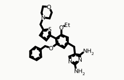 CCOc1cc(Cc2cnc(N)nc2N)cc(OCc2ccccc2)c1-c1ccc(CN2CCOCC2)s1